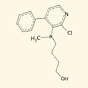 CN(CCCCO)c1c(-c2ccccc2)ccnc1Cl